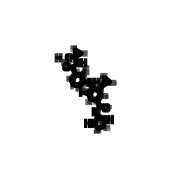 CC1(NC(=O)c2cccc(Nc3c(F)cc(C(=O)N=C4NCCN4)cc3C3CC3)c2F)CC1